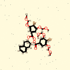 COCOc1cc(C(=O)O[C@H]2Cc3ccccc3C[C@H]2OC(=O)c2cc(OCOC)c(Br)c(OCOC)c2)cc(OCOC)c1Br